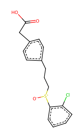 O=C(O)Cc1ccc(CCC[S+]([O-])c2ccccc2Cl)cc1